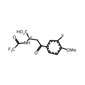 COc1ccc(C(=O)C[C@@H](NC(=O)C(F)(F)F)C(=O)O)cc1F